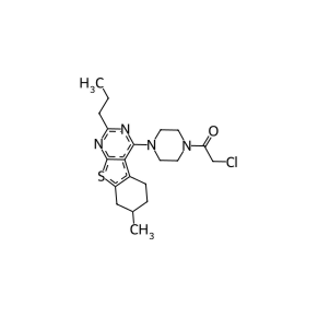 CCCc1nc(N2CCN(C(=O)CCl)CC2)c2c3c(sc2n1)CC(C)CC3